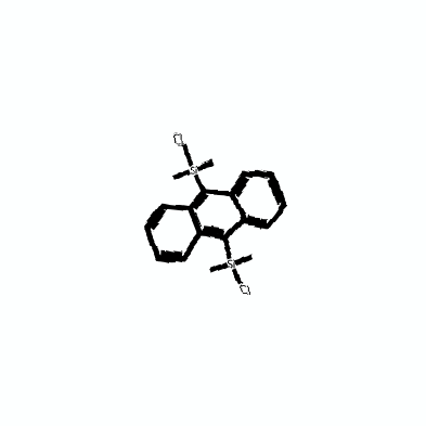 C[Si](C)(Cl)c1c2ccccc2c([Si](C)(C)Cl)c2ccccc12